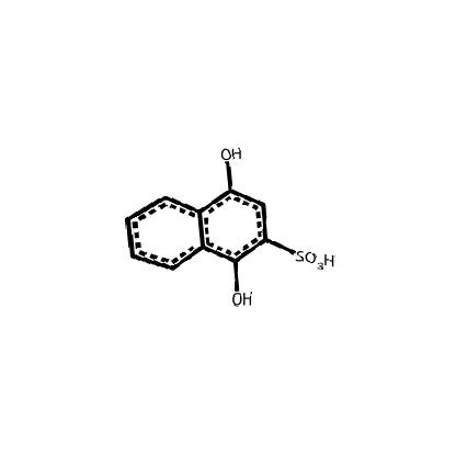 O=S(=O)(O)c1cc(O)c2ccccc2c1O